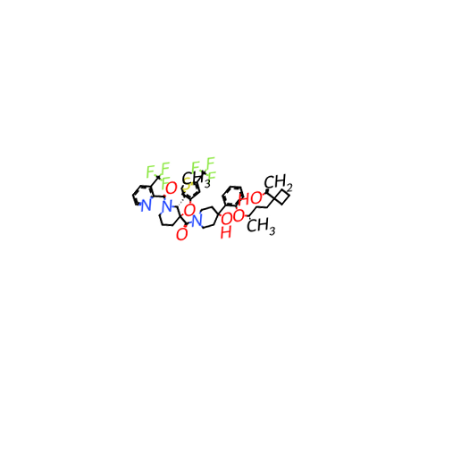 C=C(O)C1(CC[C@H](C)Oc2ccccc2C2(O)CCN(C(=O)[C@]3(Oc4csc(C(F)(F)F)c4)CCCN(C(=O)c4ncccc4C(F)(F)F)[C@@H]3CCC)CC2)CCC1